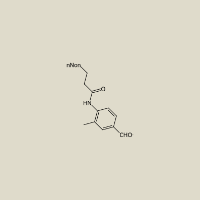 CCCCCCCCCCCC(=O)Nc1ccc([C]=O)cc1C